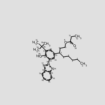 CCCCCC(CCOC(=O)CC)c1cc(-n2nc3ccccc3n2)c(O)c(C(C)(C)C)c1